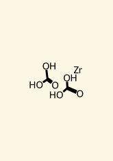 O=C(O)O.O=C(O)O.[Zr]